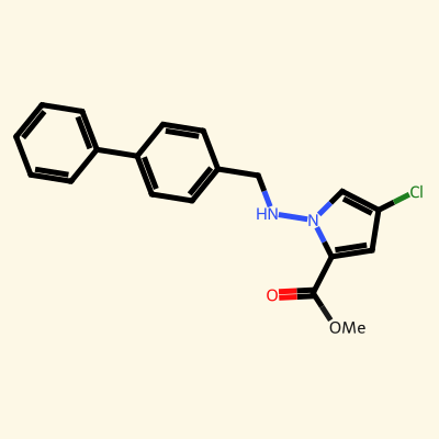 COC(=O)c1cc(Cl)cn1NCc1ccc(-c2ccccc2)cc1